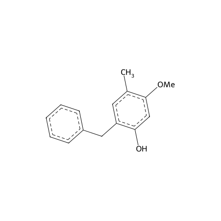 COc1cc(O)c(Cc2ccccc2)cc1C